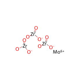 [Mo+6].[O]=[Zr]([O-])[O-].[O]=[Zr]([O-])[O-].[O]=[Zr]([O-])[O-]